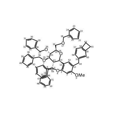 COc1cc(OCc2ccccc2)c([C@@H]2O[C@H](COCc3ccccc3)[C@@H](OCc3ccccc3)[C@H](OCc3ccccc3)[C@H]2OCc2ccccc2)cc1Cc1ccc2c(c1)CC2